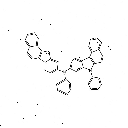 c1ccc(N(c2ccc3c(c2)sc2c4ccccc4ccc32)c2ccc3c4c5ccccc5ccc4n(-c4ccccc4)c3c2)cc1